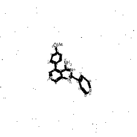 COc1ccc(-c2cncc3nc(-c4ccncc4)nc(N)c23)cc1